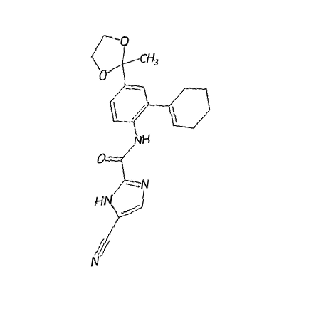 CC1(c2ccc(NC(=O)c3ncc(C#N)[nH]3)c(C3=CCCCC3)c2)OCCO1